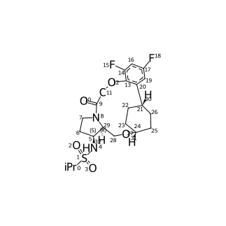 CC(C)S(=O)(=O)N[C@H]1CCN2C(=O)COc3c(F)cc(F)cc3[C@H]3CC[C@H](CC3)OC[C@@H]12